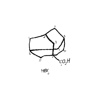 Br.O=C(O)C12CC3CC(CC(C3)C1)C2